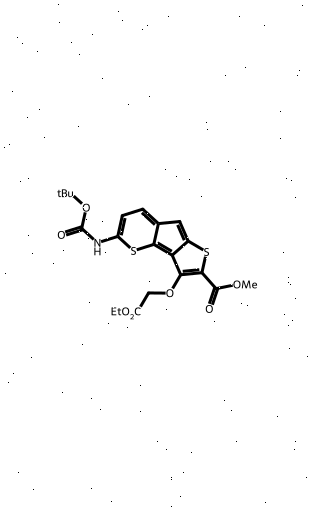 CCOC(=O)COc1c(C(=O)OC)sc2cc3ccc(NC(=O)OC(C)(C)C)sc-3c12